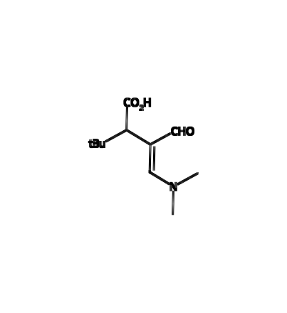 CN(C)/C=C(\C=O)C(C(=O)O)C(C)(C)C